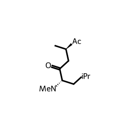 CN[C@@H](CC(C)C)C(=O)C[C@@H](C)C(C)=O